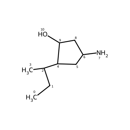 CCC(C)C1CC(N)CC1O